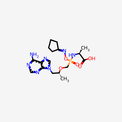 C[C@H](Cn1cnc2c(N)ncnc21)OCP(=O)(N[C@@H](C)C(=O)O)ON=C1CCCC1